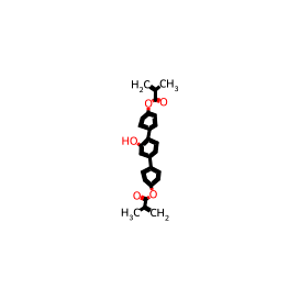 C=C(C)C(=O)Oc1ccc(-c2ccc(-c3ccc(OC(=O)C(=C)C)cc3)c(O)c2)cc1